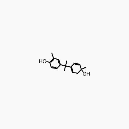 Cc1cc(C(C)(C)C2=CCC(C)(O)C=C2)ccc1O